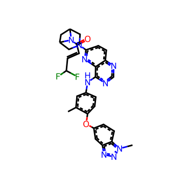 Cc1cc(Nc2ncnc3ccc(N4CC5CC(C4)N5C(=O)/C=C/C(F)F)nc23)ccc1Oc1ccc2c(c1)nnn2C